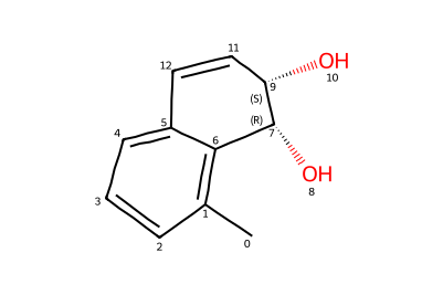 Cc1cccc2c1[C@@H](O)[C@@H](O)C=C2